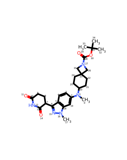 CN(c1ccc2c(C3CCC(=O)NC3=O)nn(C)c2c1)C1CCC2(CC1)CN(C(=O)OC(C)(C)C)C2